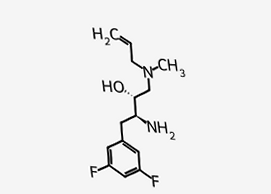 C=CCN(C)C[C@@H](O)[C@@H](N)Cc1cc(F)cc(F)c1